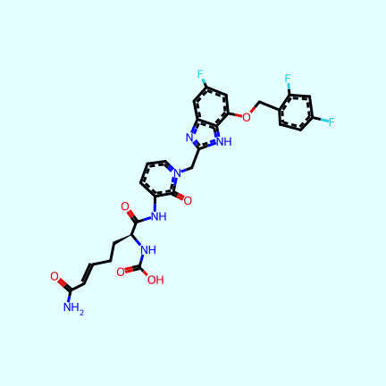 NC(=O)/C=C/CC[C@H](NC(=O)O)C(=O)Nc1cccn(Cc2nc3cc(F)cc(OCc4ccc(F)cc4F)c3[nH]2)c1=O